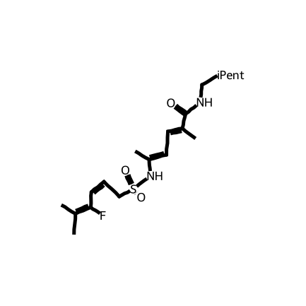 CCCC(C)CNC(=O)/C(C)=C/C=C(\C)NS(=O)(=O)C/C=C\C(F)=C(C)C